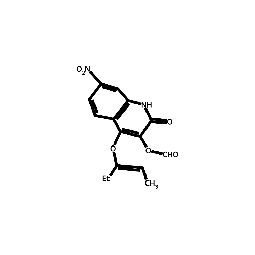 CC=C(CC)Oc1c(OC=O)c(=O)[nH]c2cc([N+](=O)[O-])ccc12